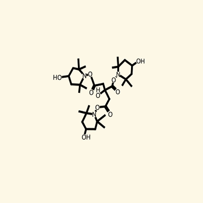 CC1(C)CC(O)CC(C)(C)N1OC(=O)CC(O)(CC(=O)ON1C(C)(C)CC(O)CC1(C)C)C(=O)ON1C(C)(C)CC(O)CC1(C)C